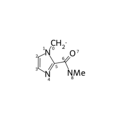 [CH2]n1ccnc1C(=O)NC